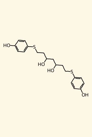 Oc1ccc(SCCC(O)CC(O)CCSc2ccc(O)cc2)cc1